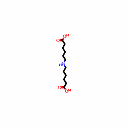 O=C(O)CCCCCNCCCCCC(=O)O